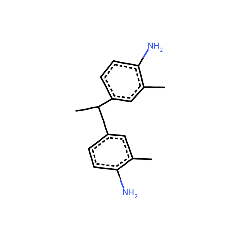 Cc1cc(C(C)c2ccc(N)c(C)c2)ccc1N